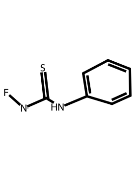 F[N]C(=S)Nc1ccccc1